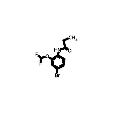 CCC(=O)Nc1ccc(Br)cc1OC(F)F